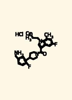 COCCn1cc(C(=O)N2CCC(c3cc(CN)ccc3F)CC2)c2cc(F)cc(C)c21.Cl